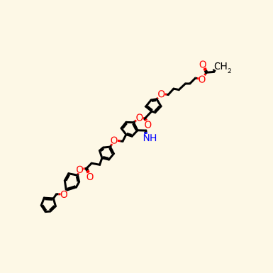 C=CC(=O)OCCCCCCOc1ccc(C(=O)Oc2ccc(COc3ccc(CCC(=O)Oc4ccc(OCc5ccccc5)cc4)cc3)cc2C=N)cc1